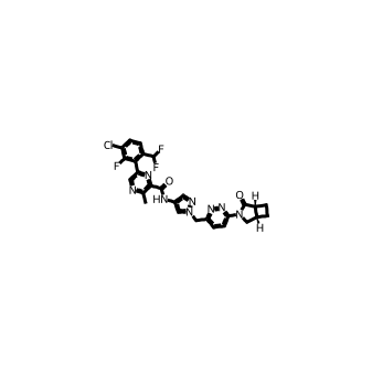 Cc1ncc(-c2c(C(F)F)ccc(Cl)c2F)nc1C(=O)Nc1cnn(Cc2ccc(N3C[C@H]4CC[C@H]4C3=O)nn2)c1